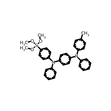 CO[Si](OC)(OC)c1ccc(N(c2ccccc2)c2ccc(N(c3ccccc3)c3ccc(C)cc3)cc2)cc1